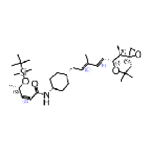 CC(/C=C/[C@H]1OC(C)(C)C[C@@]2(CO2)[C@@H]1C)=C\C[C@H]1CC[C@@H](NC(=O)/C=C\[C@H](C)O[Si](C)(C)C(C)(C)C)CC1